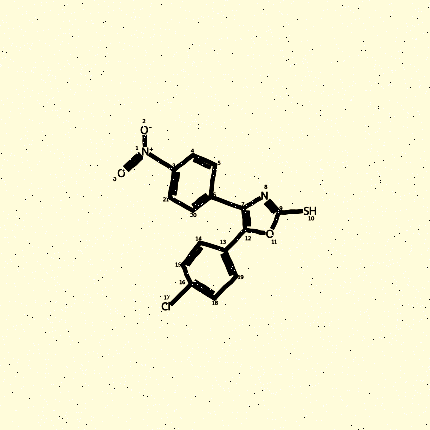 O=[N+]([O-])c1ccc(-c2nc(S)oc2-c2ccc(Cl)cc2)cc1